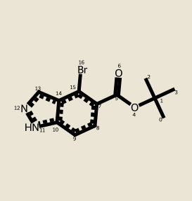 CC(C)(C)OC(=O)c1ccc2[nH]ncc2c1Br